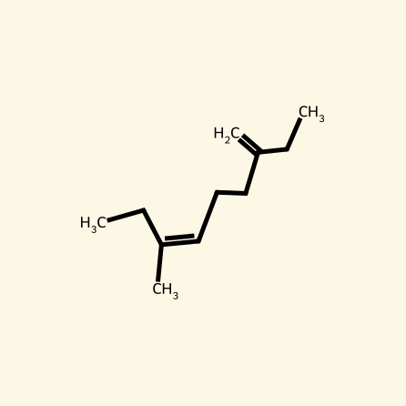 C=C(CC)CC/C=C(/C)CC